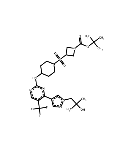 CC(C)(O)Cn1cc(-c2nc(NC3CCN(S(=O)(=O)C4CN(C(=O)OC(C)(C)C)C4)CC3)ncc2C(F)(F)F)cn1